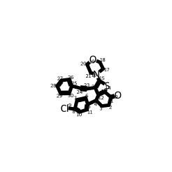 O=C1CCC(c2ccc(Cl)cc2)c2c1sc(N1CCOCC1)c2C#Cc1ccccc1